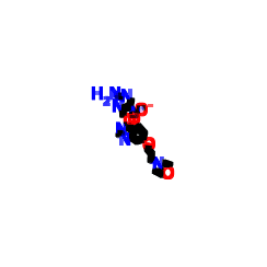 Nc1ncc([N+](=O)[O-])c(COc2ncnc3cc(OCCCN4CCOCC4)ccc23)n1